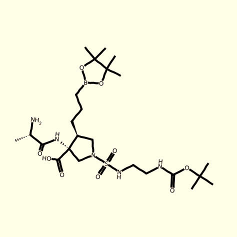 C[C@H](N)C(=O)N[C@@]1(C(=O)O)CN(S(=O)(=O)NCCNC(=O)OC(C)(C)C)C[C@@H]1CCCB1OC(C)(C)C(C)(C)O1